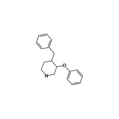 c1ccc(CC2CC[N]CC2Oc2ccccc2)cc1